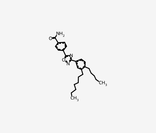 CCCCCCCc1cc(-c2noc(-c3ccc(C(N)=O)cc3)n2)ccc1CCCCC